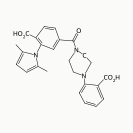 Cc1ccc(C)n1-c1cc(C(=O)N2CCN(c3ccccc3C(=O)O)CC2)ccc1C(=O)O